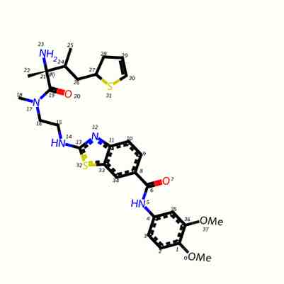 COc1ccc(NC(=O)c2ccc3nc(NCCN(C)C(=O)[C@](C)(N)C(C)CC4CC=CS4)sc3c2)cc1OC